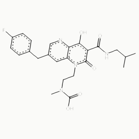 CC(C)CNC(=O)c1c(O)c2ncc(Cc3ccc(F)cc3)cc2n(CCN(C)C(=O)O)c1=O